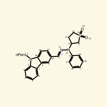 CCCCCn1c2ccccc2c2cc(/C=N/N(c3ccccc3)C3CCS(=O)(=O)C3)ccc21